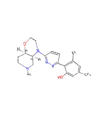 CCc1cc(C(F)(F)F)cc(O)c1-c1ccc(N2CCO[C@@H]3CCN(C(C)=O)C[C@@H]32)nn1